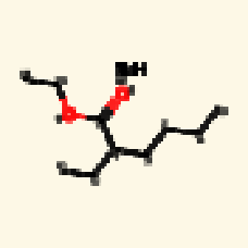 CCCCC(CC)C(=O)OCC.[NaH]